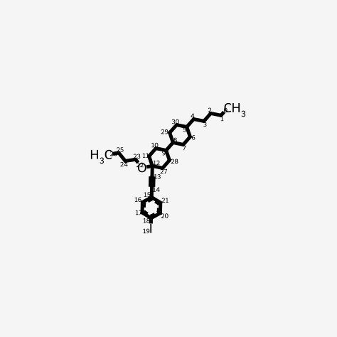 CCCCCC1CCC(C2CCC(C#Cc3ccc(I)cc3)(OCCCC)CC2)CC1